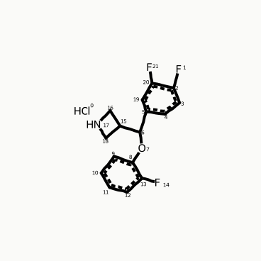 Cl.Fc1ccc(C(Oc2ccccc2F)C2CNC2)cc1F